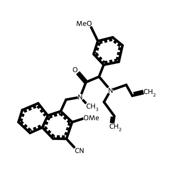 C=CCN(CC=C)C(C(=O)N(C)Cc1c(OC)c(C#N)cc2ccccc12)c1cccc(OC)c1